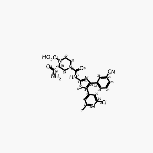 Cc1cc(-c2sc(NC(=O)N3CCN(C(=O)O)[C@@H](C(N)=O)C3)nc2-c2cccc(C#N)c2)cc(Cl)n1